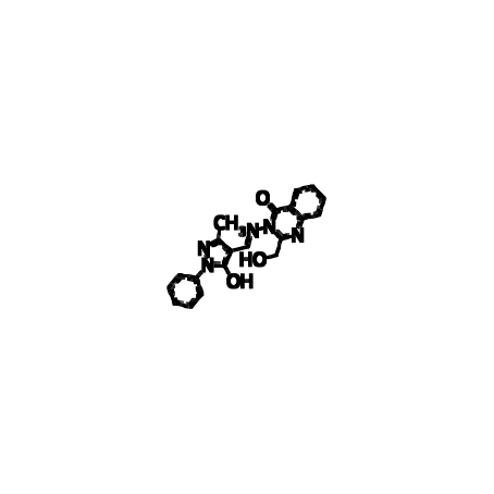 Cc1nn(-c2ccccc2)c(O)c1/C=N/n1c(CO)nc2ccccc2c1=O